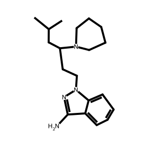 CC(C)CC(CCn1nc(N)c2ccccc21)N1CCCCC1